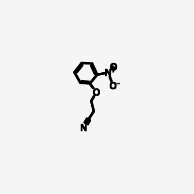 N#CCCOc1ccccc1[N+](=O)[O-]